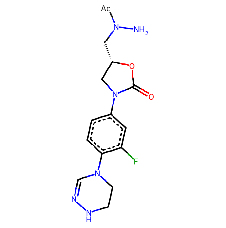 CC(=O)N(N)C[C@H]1CN(c2ccc(N3C=NNCC3)c(F)c2)C(=O)O1